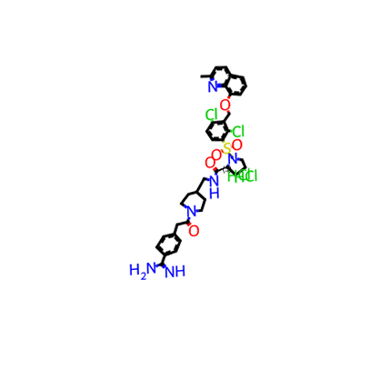 Cc1ccc2cccc(OCc3c(Cl)ccc(S(=O)(=O)N4CCC[C@H]4C(=O)NCC4CCN(C(=O)Cc5ccc(C(=N)N)cc5)CC4)c3Cl)c2n1.Cl.Cl